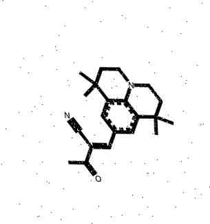 CC(=O)/C(C#N)=C/c1cc2c3c(c1)C(C)(C)CCN3CCC2(C)C